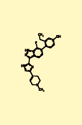 CCc1cc(O)ccc1-c1ccc2c(-c3nc(C4=CCN(C)CC4)c[nH]3)n[nH]c2c1F